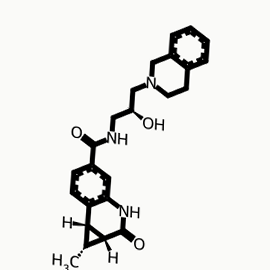 C[C@H]1[C@H]2C(=O)Nc3cc(C(=O)NC[C@H](O)CN4CCc5ccccc5C4)ccc3[C@@H]12